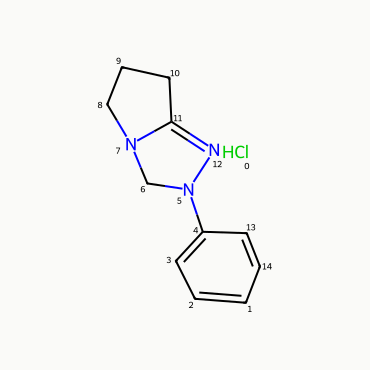 Cl.c1ccc(N2CN3CCCC3=N2)cc1